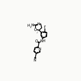 C[C@@]1(c2cc(NC(=O)c3ccc(C#N)cn3)ccc2F)CCN=C(N)O1